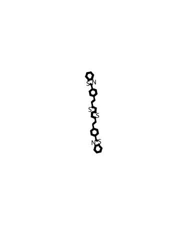 C(=C\c1cc2sc(/C=C/c3ccc(-c4nc5ccccc5s4)cc3)cc2s1)/c1ccc(-c2nc3ccccc3s2)cc1